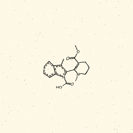 COC(=O)C1=C(c2c(C)c3ccccc3n2C(=O)O)N(C)CCC1